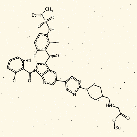 CCN(C)S(=O)(=O)Nc1ccc(F)c(C(=O)c2cn(C(=O)c3c(Cl)cccc3Cl)c3ncc(-c4cnc(N5CCC(CNCC(=O)OC(C)(C)C)CC5)nc4)cc23)c1F